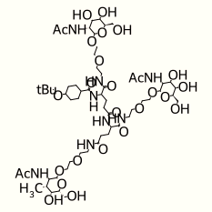 CC(=O)N[C@H]1C(OCCOCCNC(=O)CCC(NC(=O)CCC(NC(=O)C2CCC(OC(C)(C)C)CC2)C(=O)NCCOCCOC2O[C@H](CO)[C@H](O)[C@H](O)[C@H]2NC(C)=O)C(=O)NCCOCCOC2O[C@H](CO)[C@H](O)[C@H](O)[C@H]2NC(C)=O)O[C@H](CO)[C@H](O)[C@@H]1C